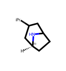 CC(C)C1CC2CC[C@@H](C1)N2